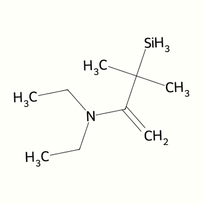 C=C(N(CC)CC)C(C)(C)[SiH3]